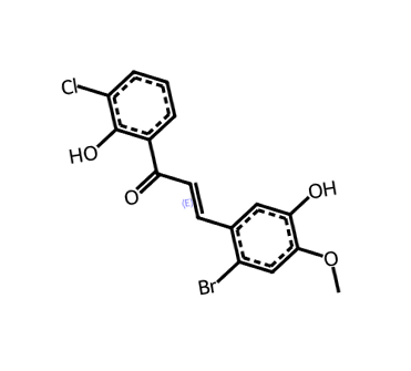 COc1cc(Br)c(/C=C/C(=O)c2cccc(Cl)c2O)cc1O